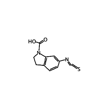 O=C(O)N1CCc2ccc(N=C=S)cc21